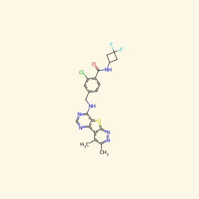 Cc1nnc2sc3c(NCc4ccc(C(=O)NC5CC(F)(F)C5)c(Cl)c4)ncnc3c2c1C